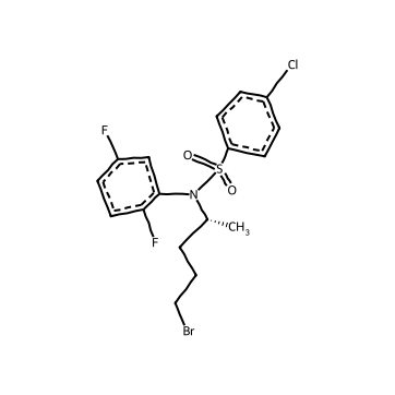 C[C@H](CCCBr)N(c1cc(F)ccc1F)S(=O)(=O)c1ccc(Cl)cc1